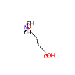 C#CCN(CC#C)C(=O)CCCCCCCCC#CC#CCCCCCCCCC(=O)O